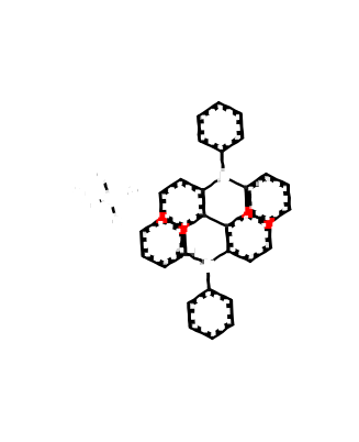 Cc1cccc(P(c2ccccc2)c2ccccc2)c1-c1c(C)cccc1P(c1ccccc1)c1ccccc1.[O-][Cl+3]([O-])([O-])[O-].[Rh+]